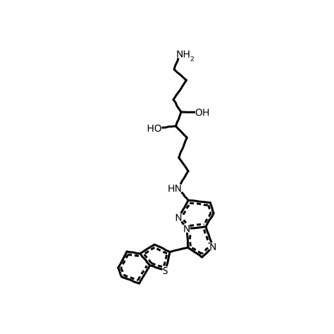 NCCCC(O)C(O)CCCNc1ccc2ncc(-c3cc4ccccc4s3)n2n1